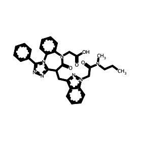 CCCN(C)C(=O)Cn1nc(CC2C(=O)N(CC(=O)O)c3ccccc3-n3c(-c4ccccc4)nnc32)c2ccccc21